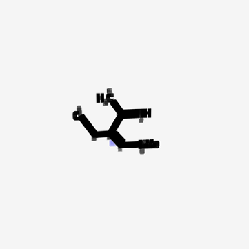 CN/C=C(/CCl)C(C)=N